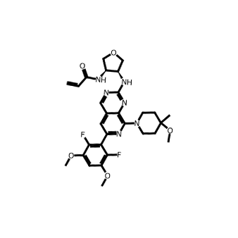 C=CC(=O)N[C@H]1COC[C@H]1Nc1ncc2cc(-c3c(F)c(OC)cc(OC)c3F)nc(N3CCC(C)(OC)CC3)c2n1